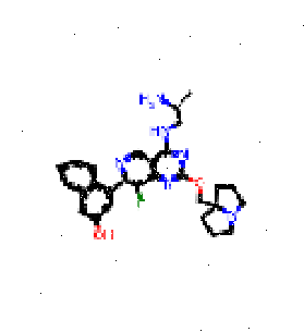 C[C@H](N)CNc1nc(OCC23CCCN2CCC3)nc2c(F)c(-c3cc(O)cc4ccccc34)ncc12